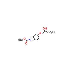 CCOC(=O)[C@H](O)COc1ccc2c(c1)CN(C(=O)OC(C)(C)C)C2